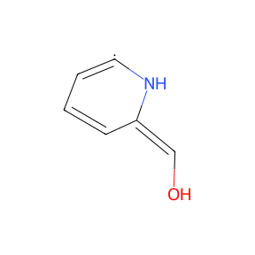 OC=C1C=CC=[C]N1